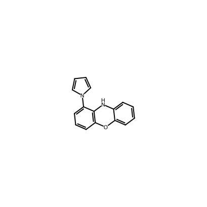 c1ccc2c(c1)Nc1c(cccc1-n1cccc1)O2